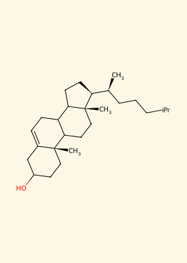 CC(C)CCC[C@H](C)[C@@H]1CCC2C3CC=C4CC(O)CC[C@@]4(C)C3CC[C@]21C